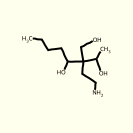 CCCCC(O)C(CO)(CCN)C(C)O